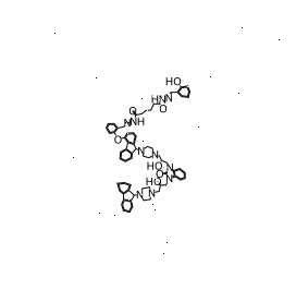 O=C(CCCCC(=O)N/N=C/c1ccccc1Oc1cccc2c1-c1ccccc1C2N1CCN(CC(O)Cn2c(=O)n(CC(O)CN3CCN(C4c5ccccc5-c5ccccc54)CC3)c3ccccc32)CC1)N/N=C/c1ccccc1O